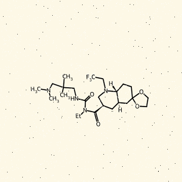 CCN(C(=O)NCC(C)(C)CN(C)C)C(=O)[C@@H]1C[C@@H]2CC3(CC[C@H]2N(CC(F)(F)F)C1)OCCO3